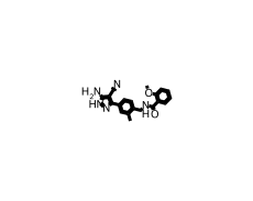 COc1ccccc1C(=O)NCc1ccc(-c2n[nH]c(N)c2C#N)cc1C